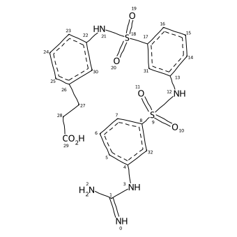 N=C(N)Nc1cccc(S(=O)(=O)Nc2cccc(S(=O)(=O)Nc3cccc(CCC(=O)O)c3)c2)c1